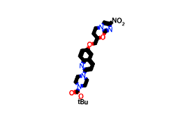 CC(C)(C)OC(=O)N1CCN(c2ccc3cc(OCC4CCn5cc([N+](=O)[O-])nc5O4)ccc3n2)CC1